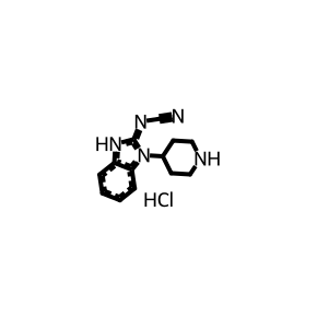 Cl.N#CN=c1[nH]c2ccccc2n1C1CCNCC1